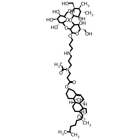 CC(=O)N(CCCNCCCOC1O[C@@H](CO)[C@@H](O)C(OC2O[C@@H](CO)[C@@H](C)[C@H](C)[C@@H]2O)C1OC1OC(CO)[C@H](O)[C@H](O)[C@H]1O)CCC(=O)OC1CC[C@@]2(C)C(=CC[C@H]3[C@@H]4CC[C@H]([C@H](C)CCCC(C)C)[C@@]4(C)CC[C@@H]32)C1